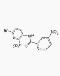 O=C(Nc1ccc(Br)cc1C(=O)O)c1cccc([N+](=O)[O-])c1